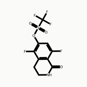 O=C1NCCc2c(F)c(OS(=O)(=O)C(F)(F)F)cc(F)c21